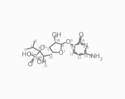 CC(C)C(O[C@H]1COC(On2ccc(N)nc2=O)[C@@H]1O)(C(C)C)P(=O)(O)O